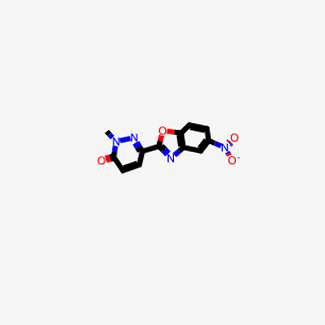 Cn1nc(-c2nc3cc([N+](=O)[O-])ccc3o2)ccc1=O